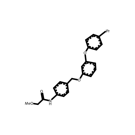 COCC(=O)Nc1ccc(COc2cccc(Oc3ccc(C(C)C)cc3)c2)cc1